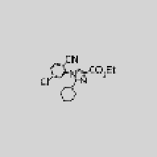 CCOC(=O)c1cn(-c2cc(Cl)ccc2C#N)c(C2CCCCC2)n1